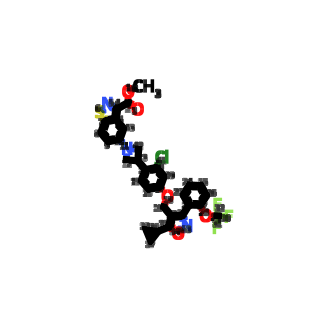 COC(=O)c1nsc2ccc(N3CC(c4ccc(OCc5c(-c6ccccc6OC(F)(F)F)noc5C5CC5)cc4Cl)C3)cc12